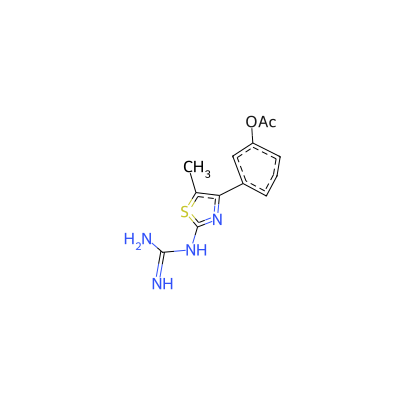 CC(=O)Oc1cccc(-c2nc(NC(=N)N)sc2C)c1